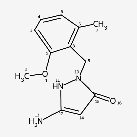 COc1cccc(C)c1Cn1[nH]c(N)cc1=O